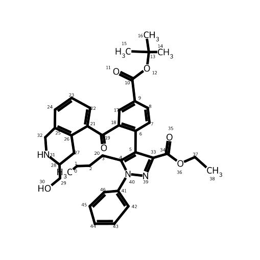 CCCCc1c(-c2ccc(C(=O)OC(C)(C)C)cc2C(=O)c2cccc3c2CC(CO)NC3)c(C(=O)OCC)nn1-c1ccccc1